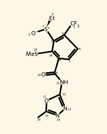 CC[S@+]([O-])c1c(C(F)(F)F)ccc(C(=O)Nc2nnc(C)o2)c1SC